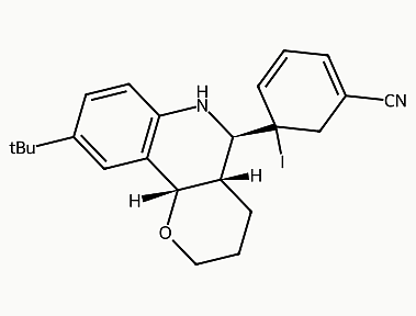 CC(C)(C)c1ccc2c(c1)[C@H]1OCCC[C@H]1[C@H](C1(I)C=CC=C(C#N)C1)N2